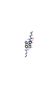 CCCCC(=O)Nc1ccc(F)[c]([Ti]([C]2=CC=CC2)([C]2=CC=CC2)[c]2c(F)ccc(NC(=O)CCCC)c2F)c1F